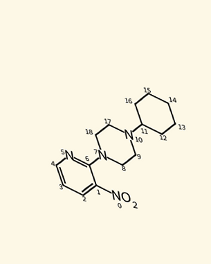 O=[N+]([O-])c1cccnc1N1CCN(C2CCCCC2)CC1